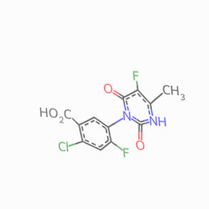 Cc1[nH]c(=O)n(-c2cc(C(=O)O)c(Cl)cc2F)c(=O)c1F